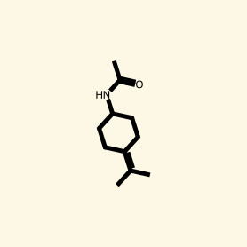 CC(=O)NC1CCC(=C(C)C)CC1